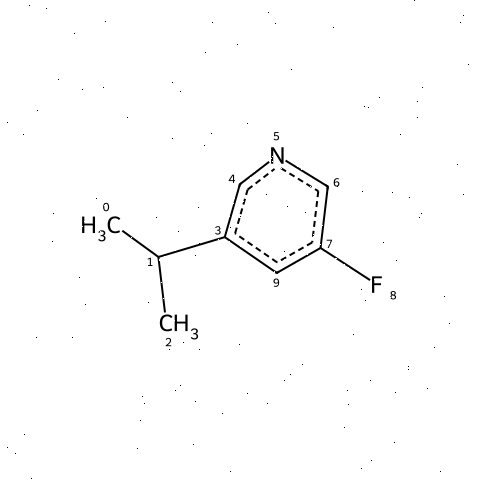 CC(C)c1cncc(F)c1